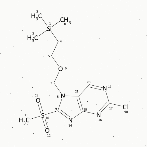 C[Si](C)(C)CCOCn1c(S(C)(=O)=O)nc2nc(Cl)ncc21